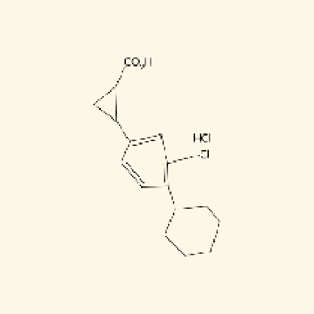 Cl.O=C(O)C1CC1c1ccc(C2CCCCC2)c(Cl)c1